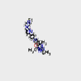 CCN1CCN(Cc2ccc(-c3ccc(N4CCC(Oc5c(C)nc6nc(C)nn6c5C)C4)cc3)nn2)CC1